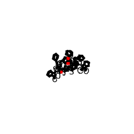 O=C(OCc1ccccc1)C1(C(=O)OCc2ccccc2)C(/N=c2\c(=O)c(=O)c3ccccc23)=Cc2sc3c(sc4c5c(sc43)C=C(/N=c3\c(=O)c(=O)c4ccccc34)C5(C(=O)OCc3ccccc3)C(=O)OCc3ccccc3)c21